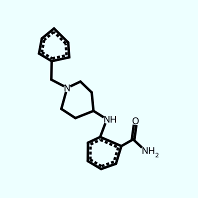 NC(=O)c1ccccc1NC1CCN(Cc2ccccc2)CC1